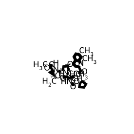 C=C[C@@H]1C[C@]1(NC(=O)[C@@H]1C[C@@H](Oc2cc(C(=O)O)nc3c(C)c(C)ccc23)CN1C(=O)[C@@H](NC(=O)OC1CCCC1)C(C)(C)C)C(=O)OC